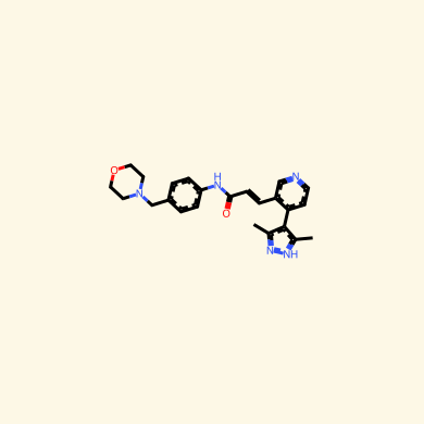 Cc1n[nH]c(C)c1-c1ccncc1/C=C/C(=O)Nc1ccc(CN2CCOCC2)cc1